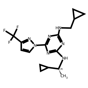 C[C@@H](Nc1nc(NCC2CC2)nc(-n2ccc(C(F)(F)F)n2)n1)C1CC1